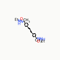 CCNC(=O)N[C@@H](C)c1ccc(C#CC#Cc2ccc([C@H](C)NC(=O)NCC)cc2)cc1